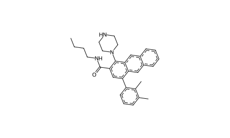 CCCCNC(=O)c1cc(-c2cccc(C)c2C)c2cc3ccccc3cc2c1N1CCNCC1